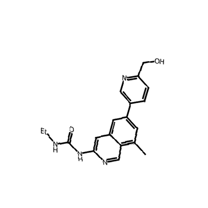 CCNC(=O)Nc1cc2cc(-c3ccc(CO)nc3)cc(C)c2cn1